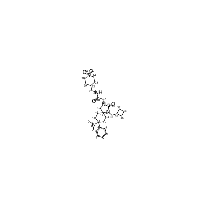 CN(C)C1(c2ccccc2)CCC2(CC1)CN(CC(=O)NCC1CCS(=O)(=O)CC1)C(=O)N2CC1CCC1